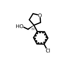 OC[C@@]1(c2ccc(Cl)cc2)CCOC1